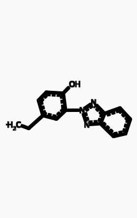 [CH2]Cc1ccc(O)c(-n2nc3ccccc3n2)c1